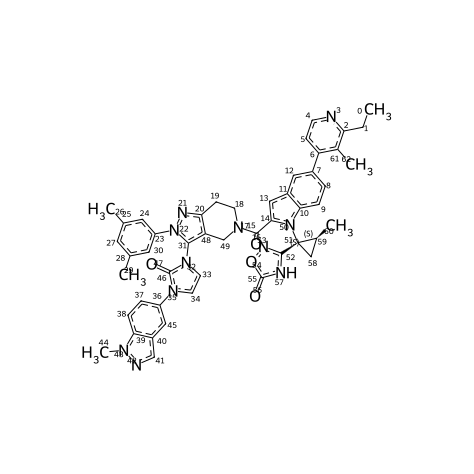 CCc1nccc(-c2ccc3c(c2)cc(C(=O)N2CCc4nn(-c5cc(C)cc(C)c5)c(-n5ccn(-c6ccc7c(cnn7C)c6)c5=O)c4C2)n3[C@@]2(c3noc(=O)[nH]3)C[C@@H]2C)c1C